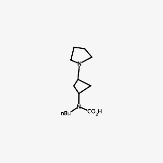 CCCCN(C(=O)O)C1CC(N2CCCC2)C1